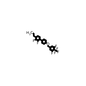 CCCc1ccc(-c2ccc(OCc3cc(F)c(C(F)(F)F)c(F)c3)cc2)c(F)c1F